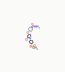 CS(=O)(=O)c1ccc(-n2ccc(OC3CCN(C(N)=O)CC3)cc2=O)cc1